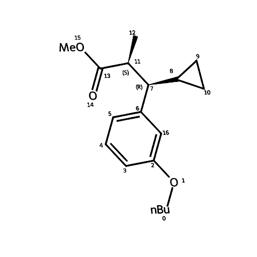 CCCCOc1cccc([C@H](C2CC2)[C@H](C)C(=O)OC)c1